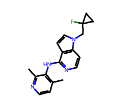 Cc1ccnc(C)c1Nc1nccc2c1ccn2CC1(F)CC1